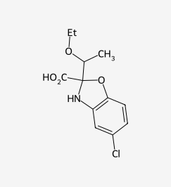 CCOC(C)C1(C(=O)O)Nc2cc(Cl)ccc2O1